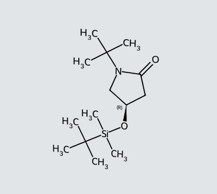 CC(C)(C)N1C[C@H](O[Si](C)(C)C(C)(C)C)CC1=O